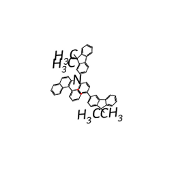 CC1(C)c2ccccc2-c2cc(-c3ccc(N(c4ccc5c(c4)C(C)(C)c4ccccc4-5)c4ccc5ccccc5c4-c4ccccc4)cc3)ccc21